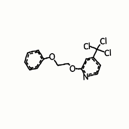 ClC(Cl)(Cl)c1ccnc(OCCOc2ccccc2)c1